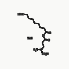 CCCCCCCCCCCCCCCCCC(=O)OC(=O)CC[C@H](N)C(=O)O.[NaH]